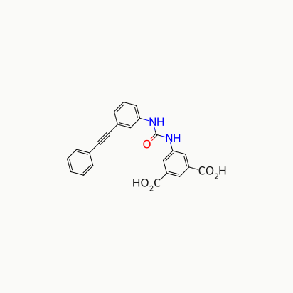 O=C(Nc1cccc(C#Cc2ccccc2)c1)Nc1cc(C(=O)O)cc(C(=O)O)c1